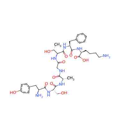 C[C@H](NC(=O)[C@H](CO)NC(=O)[C@@H](N)Cc1ccc(O)cc1)C(=O)NCC(=O)N[C@H](C(=O)N[C@@H](Cc1ccccc1)C(=O)N[C@@H](CCCCN)C(=O)O)[C@@H](C)O